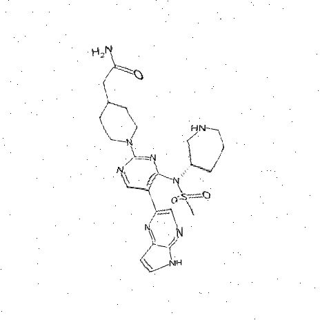 CS(=O)(=O)N(c1nc(N2CCC(CC(N)=O)CC2)ncc1-c1cnc2[nH]ccc2n1)[C@H]1CCCNC1